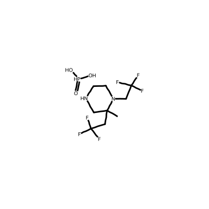 CC1(CC(F)(F)F)CNCCN1CC(F)(F)F.O=[PH](O)O